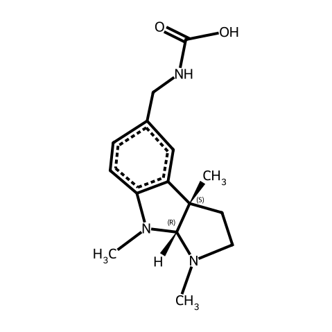 CN1CC[C@@]2(C)c3cc(CNC(=O)O)ccc3N(C)[C@@H]12